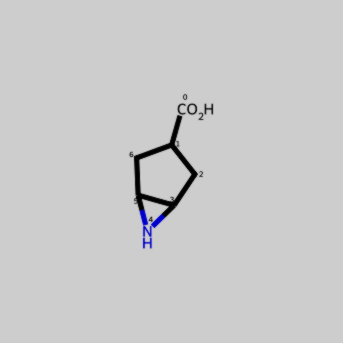 O=C(O)C1CC2NC2C1